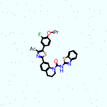 CC(=O)c1nc(-c2ccc3c(c2)N(C(=O)Nc2nc4ccccc4s2)CCC3)sc1-c1ccc(OC(C)C)c(F)c1